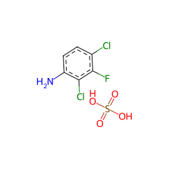 Nc1ccc(Cl)c(F)c1Cl.O=S(=O)(O)O